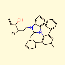 C=CC(O)C(CC)CCN1c2ccccc2N(C2=C(C3CC=CCC3)CC(C)C=C2c2ccccc2)C1C